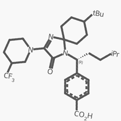 CC(C)CC[C@H](c1ccc(C(=O)O)cc1)N1C(=O)C(N2CCCC(C(F)(F)F)C2)=NC12CCC(C(C)(C)C)CC2